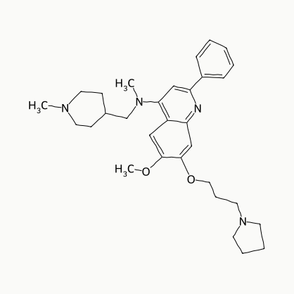 COc1cc2c(N(C)CC3CCN(C)CC3)cc(-c3ccccc3)nc2cc1OCCCN1CCCC1